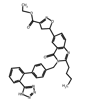 CCCCc1nc2ccc(C3CC(C(=O)OCC)=NO3)cc2c(=O)n1Cc1ccc(-c2ccccc2-c2nnn[nH]2)cc1